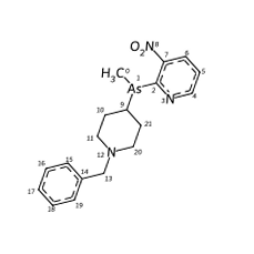 C[As](c1ncccc1[N+](=O)[O-])C1CCN(Cc2ccccc2)CC1